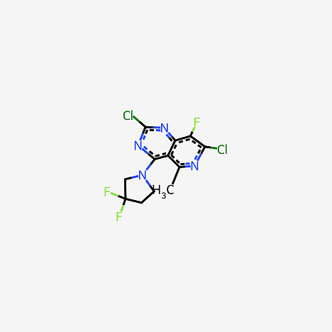 Cc1nc(Cl)c(F)c2nc(Cl)nc(N3CCC(F)(F)C3)c12